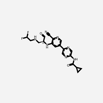 N#Cc1ncc(-c2cnc(NC(=O)C3CC3)cn2)cc1N[C@H](C=O)CNCC(F)F